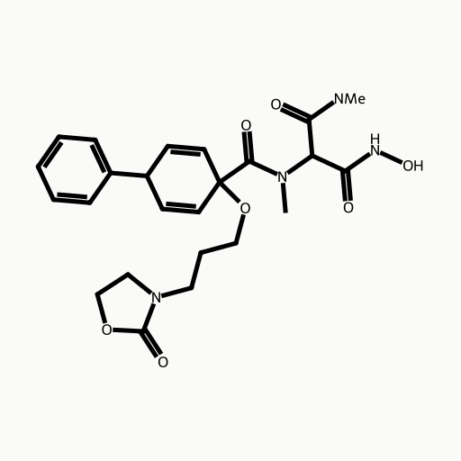 CNC(=O)C(C(=O)NO)N(C)C(=O)C1(OCCCN2CCOC2=O)C=CC(c2ccccc2)C=C1